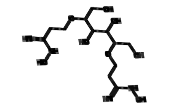 N=C(CCOC(CO)C(O)C(O)C(CO)OCCC(=N)NO)NO